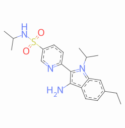 CCc1ccc2c(N)c(-c3ccc(S(=O)(=O)NC(C)C)cn3)n(C(C)C)c2c1